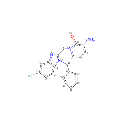 Nc1cccn(Cc2nc3cc(F)ccc3n2Cc2ccccc2)c1=O